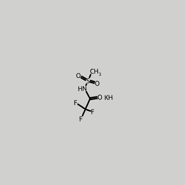 CS(=O)(=O)NC(=O)C(F)(F)F.[KH]